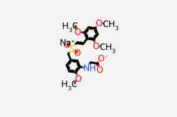 COc1cc(OC)c(C=CS(=O)(=O)Cc2ccc(OC)c(NCC(=O)[O-])c2)c(OC)c1.[Na+]